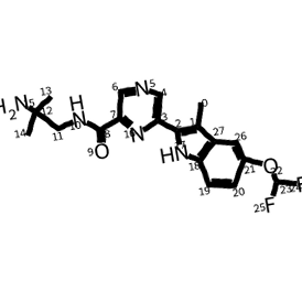 Cc1c(-c2cncc(C(=O)NCC(C)(C)N)n2)[nH]c2ccc(OC(F)F)cc12